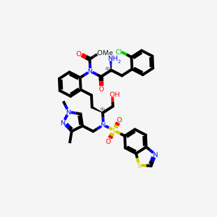 COC(=O)N(C(=O)[C@@H](N)Cc1ccccc1Cl)c1ccccc1CC[C@@H](CO)N(Cc1cn(C)nc1C)S(=O)(=O)c1ccc2ncsc2c1